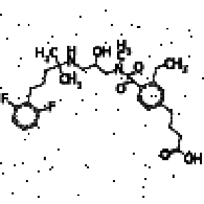 CCc1cc(CCCC(=O)O)ccc1S(=O)(=O)N(C)CC(O)CNC(C)(C)CCCc1c(F)cccc1F